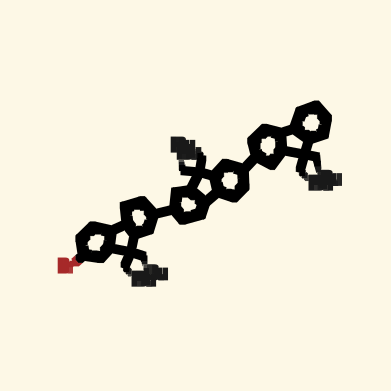 CC[C@H](C)CC1(C[C@@H](C)CC)c2ccccc2-c2ccc(-c3ccc4c(c3)C(C[C@@H](C)CC)(C[C@@H](C)CC)c3cc(-c5ccc6c(c5)C(C[C@@H](C)CC)(C[C@@H](C)CC)c5cc(Br)ccc5-6)ccc3-4)cc21